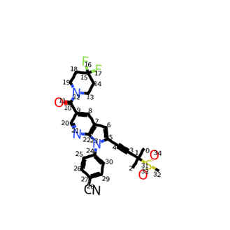 CC(C)(C#Cc1cc2cc(C(=O)N3CCC(F)(F)CC3)cnc2n1-c1ccc(C#N)cc1)S(C)(=O)=O